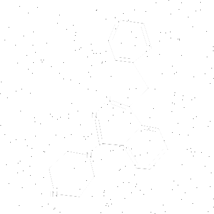 c1ccc2c(N3CCNCC3)nnc(Cc3ccncc3)c2c1